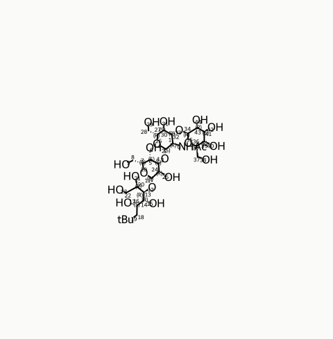 CC(=O)N[C@H]1[C@H](O[C@H]2[C@@H](O)[C@@H](CO)O[C@@H](O[C@@H]([C@H](O)[C@@H](O)CC(C)(C)C)[C@H](O)CO)[C@@H]2O)O[C@H](CO)[C@@H](O)[C@@H]1O[C@@H]1O[C@H](CO)[C@H](O)[C@H](O)[C@H]1O